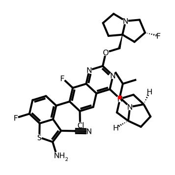 CC(C)CN1[C@@H]2CC[C@H]1CN(c1nc(OC[C@@]34CCCN3C[C@H](F)C4)nc3c(F)c(-c4ccc(F)c5sc(N)c(C#N)c45)c(Cl)cc13)C2